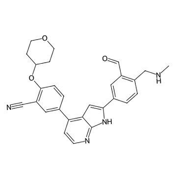 CNCc1ccc(-c2cc3c(-c4ccc(OC5CCOCC5)c(C#N)c4)ccnc3[nH]2)cc1C=O